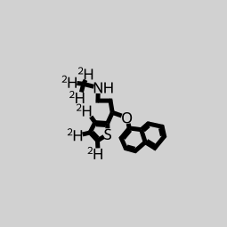 [2H]c1sc(C(CCNC([2H])([2H])[2H])Oc2cccc3ccccc23)c([2H])c1[2H]